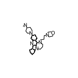 CN(C)C1CCN(c2ccc3c4c5c(nc3c2)c2ccccc2n5CCCN4CCCN2CCOCC2)CC1